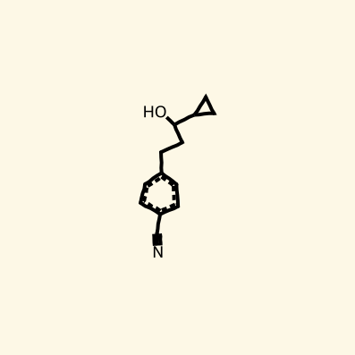 N#Cc1ccc(CCC(O)C2CC2)cc1